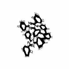 c1ccc(-c2nc(-c3ccccc3)nc(-c3cccc(-c4cccc(-c5ccccc5)c4-c4cccc(-c5nc(-c6ccccc6)nc(-c6ccccc6)n5)c4)c3)n2)cc1